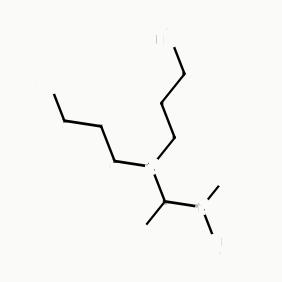 CCC(N(C)C)N(CCCO)CCCO